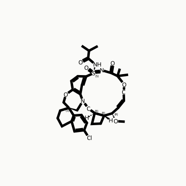 CO[C@H]1C=CCOC(C)(C)C(=O)N=[S@@](=O)(NC(=O)C(C)C)c2ccc3c(c2)N(C[C@@H]2CC[C@H]21)C[C@@]1(CCCc2cc(Cl)ccc21)CO3